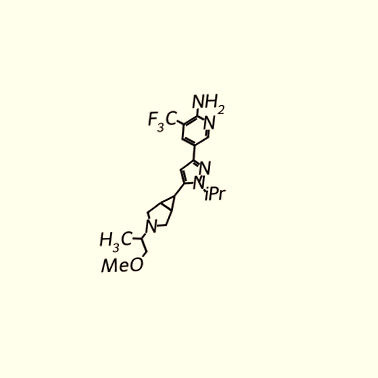 COCC(C)N1CC2C(C1)C2c1cc(-c2cnc(N)c(C(F)(F)F)c2)nn1C(C)C